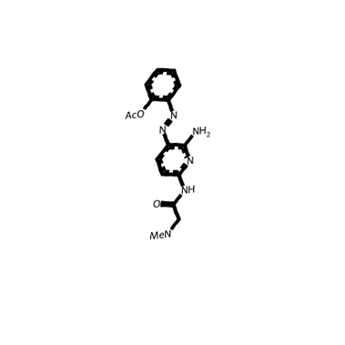 CNCC(=O)Nc1ccc(/N=N/c2ccccc2OC(C)=O)c(N)n1